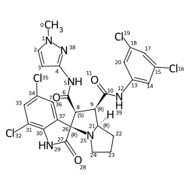 Cn1ccc(NC(=O)[C@H]2[C@@H](C(=O)Nc3cc(Cl)cc(Cl)c3)[C@H]3CCCN3[C@]23C(=O)Nc2c(Cl)cc(Cl)cc23)n1